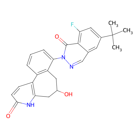 CC(C)(C)c1cc(F)c2c(=O)n(-c3cccc4c3CC(O)Cc3[nH]c(=O)ccc3-4)ncc2c1